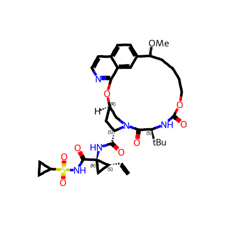 C=C[C@@H]1C[C@]1(NC(=O)[C@@H]1C[C@@H]2CN1C(=O)[C@H](C(C)(C)C)NC(=O)OCCCCC(OC)c1ccc3ccnc(c3c1)O2)C(=O)NS(=O)(=O)C1CC1